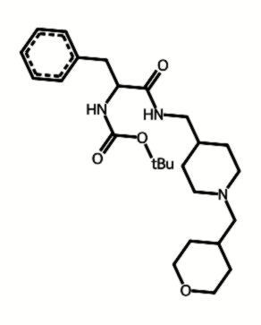 CC(C)(C)OC(=O)NC(Cc1ccccc1)C(=O)NCC1CCN(CC2CCOCC2)CC1